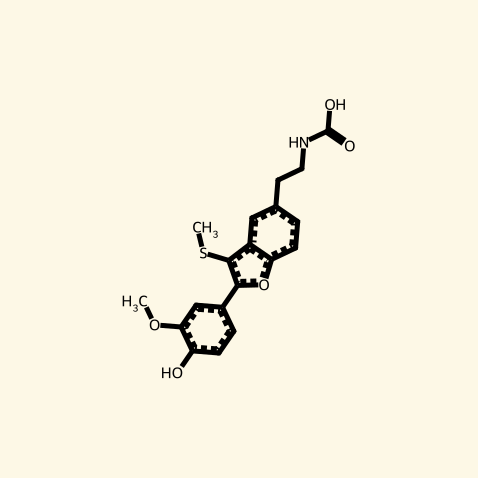 COc1cc(-c2oc3ccc(CCNC(=O)O)cc3c2SC)ccc1O